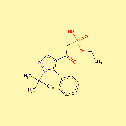 CCOP(=O)(O)CC(=O)c1cnn(C(C)(C)C)c1-c1ccccc1